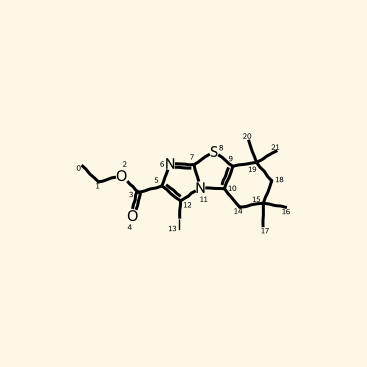 CCOC(=O)c1nc2sc3c(n2c1I)CC(C)(C)CC3(C)C